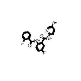 O=C(Nc1ccc(F)cc1C(=O)Nc1ccc(Br)cn1)c1ccccc1F